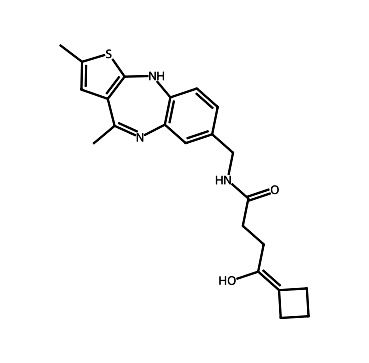 CC1=Nc2cc(CNC(=O)CCC(O)=C3CCC3)ccc2Nc2sc(C)cc21